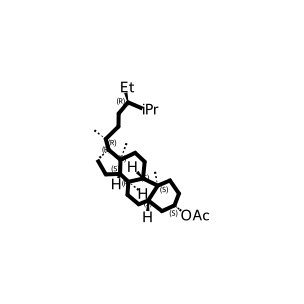 CC[C@H](CC[C@@H](C)[C@H]1CC[C@H]2[C@@H]3CC[C@H]4C[C@@H](OC(C)=O)CC[C@]4(C)[C@H]3CC[C@]12C)C(C)C